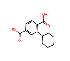 O=C(O)c1ccc(C(=O)O)c(C2CCCCC2)c1